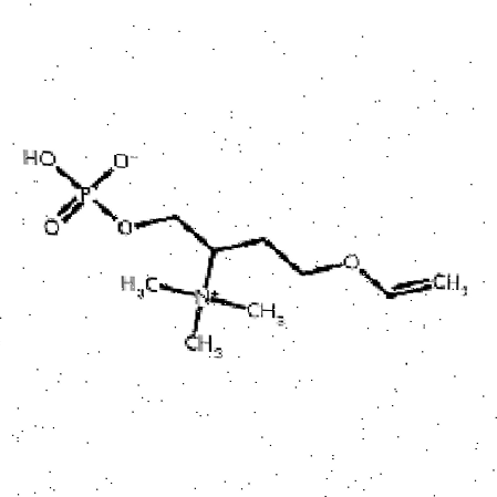 C=COCCC(COP(=O)([O-])O)[N+](C)(C)C